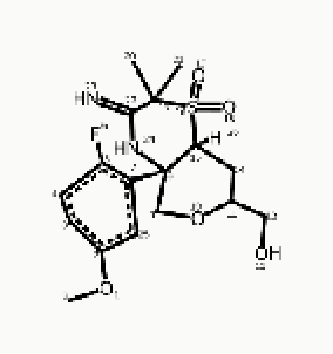 COc1ccc(F)c([C@]23COC(CO)C[C@H]2S(=O)(=O)C(C)(C)C(=N)N3)c1